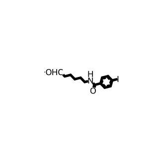 O=[C]CCCCCNC(=O)c1ccc(I)cc1